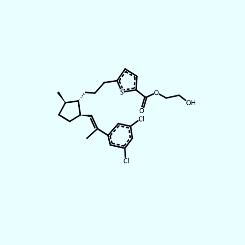 C/C(=C\[C@H]1CC[C@@H](C)[C@@H]1CCCc1ccc(C(=O)OCCO)s1)c1cc(Cl)cc(Cl)c1